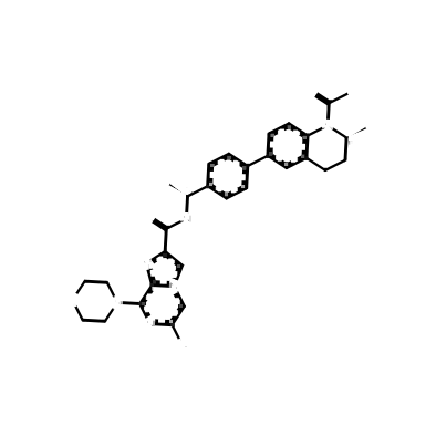 CC(=O)N1c2ccc(-c3ccc([C@H](C)NC(=O)c4cn5cc(Br)nc(N6CCOCC6)c5n4)cc3)cc2CC[C@@H]1C